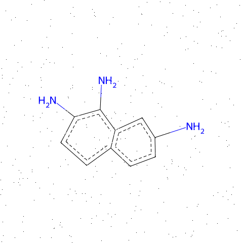 Nc1ccc2ccc(N)c(N)c2c1